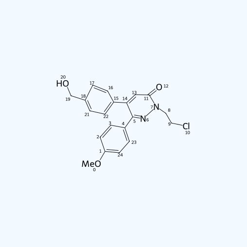 COc1ccc(-c2nn(CCCl)c(=O)cc2-c2ccc(CO)cc2)cc1